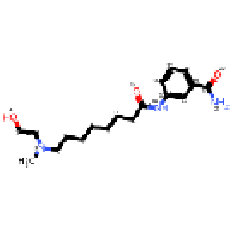 CN(CCO)CCCCCCCC(=O)Nc1cccc(C(N)=O)c1